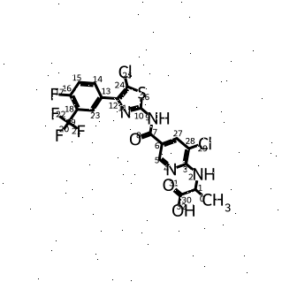 CC(Nc1ncc(C(=O)Nc2nc(-c3ccc(F)c(C(F)(F)F)c3)c(Cl)s2)cc1Cl)C(=O)O